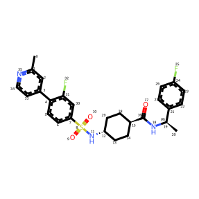 Cc1cc(-c2ccc(S(=O)(=O)N[C@H]3CC[C@H](C(=O)N[C@H](C)c4ccc(F)cc4)CC3)cc2F)ccn1